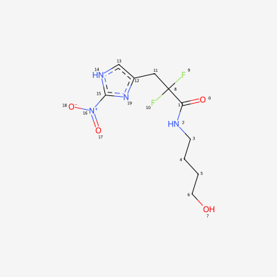 O=C(NCCCCO)C(F)(F)Cc1c[nH]c([N+](=O)[O-])n1